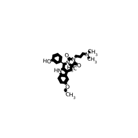 CCOc1ccc2[nH]c3c(c2c1)C[C@@]1(C)C(=O)N(CCCN(C)C)C(=O)N1[C@@H]3c1cccc(O)c1